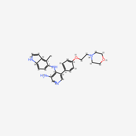 Cc1c(Nc2c(N)cncc2-c2ccc(OCCN3CCOCC3)cc2)ccc2[nH]ccc12